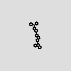 c1ccc(N(c2ccccc2)c2ccc3cc(-c4ccc5c(ccc6cc(-c7cc8ccccc8c8ccccc78)ccc65)c4)ccc3c2)cc1